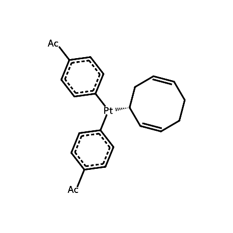 CC(=O)c1cc[c]([Pt]([c]2ccc(C(C)=O)cc2)[C@H]2/C=C\CC/C=C\C2)cc1